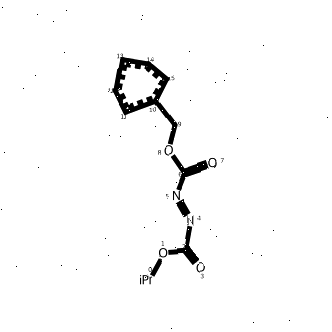 CC(C)OC(=O)N=NC(=O)OCc1ccccc1